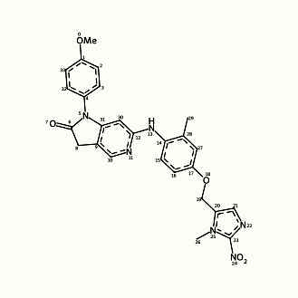 COc1ccc(N2C(=O)Cc3cnc(Nc4ccc(OCc5cnc([N+](=O)[O-])n5C)cc4C)cc32)cc1